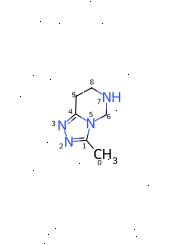 Cc1nnc2n1CNCC2